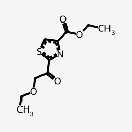 CCOCC(=O)c1nc(C(=O)OCC)cs1